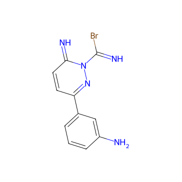 N=C(Br)n1nc(-c2cccc(N)c2)ccc1=N